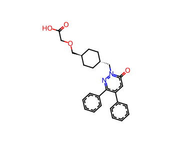 O=C(O)COC[C@H]1CC[C@H](Cn2nc(-c3ccccc3)c(-c3ccccc3)cc2=O)CC1